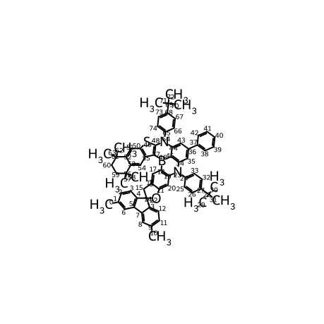 Cc1ccc2c(c1)-c1cc(C)ccc1C21Cc2cc3c(cc2O1)N(c1ccc(C(C)(C)C)cc1)c1cc(-c2ccccc2)cc2c1B3c1c(sc3cc4c(cc13)C(C)(C)CCC4(C)C)N2c1ccc(C(C)(C)C)cc1